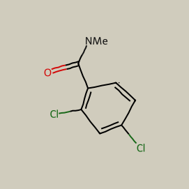 CNC(=O)c1[c]cc(Cl)cc1Cl